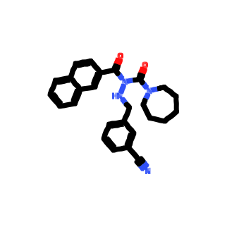 N#Cc1cccc(CNN(C(=O)c2ccc3ccccc3c2)C(=O)N2CCCCCC2)c1